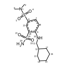 CN(C)S(=O)(=O)c1ccc(NCC2CCCCC2)c(S(N)(=O)=O)c1